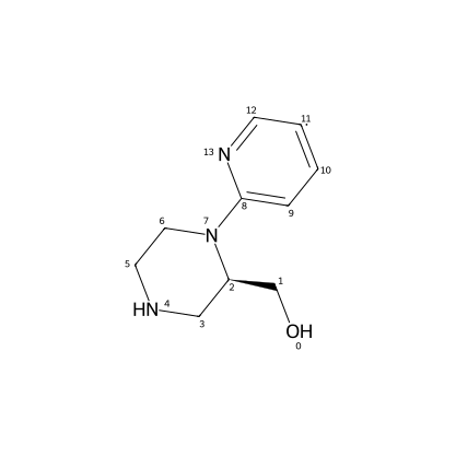 OC[C@H]1CNCCN1c1cc[c]cn1